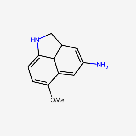 COC1=CC=C2NCC3C=C(N)C=C1C23